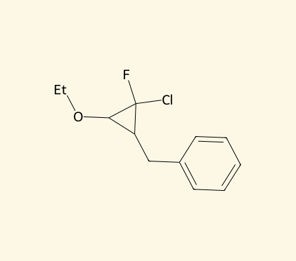 CCOC1C(Cc2ccccc2)C1(F)Cl